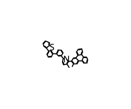 Cc1cc2c3ccccc3c3ccccc3c2cc1-c1nc(-c2cccc(-c3cccc4c3sc3ccccc34)c2)ccc1C